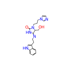 O=C1NC(=NCCc2c[nH]c3ccccc23)C(CO)N1CCCn1ccnc1